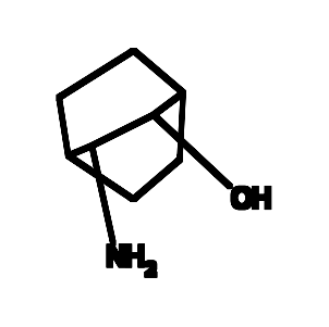 NC1C2CCC(CC2)C1O